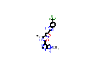 C[C@H](NC(=O)c1ncnc2c1CN(C)N2)c1cc(-c2nc3ccc(C(F)(F)F)cc3[nH]2)on1